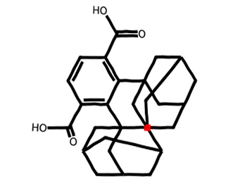 O=C(O)c1ccc(C(=O)O)c(C23CC4CC(CC(C4)C2)C3)c1C12CC3CC(CC(C3)C1)C2